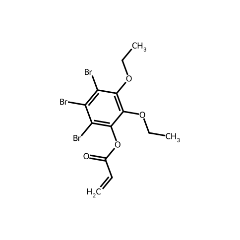 C=CC(=O)Oc1c(Br)c(Br)c(Br)c(OCC)c1OCC